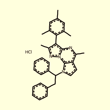 Cc1cc(C)c(-c2c(C)nn3c2nc(C)c2ccn(C(Cc4ccccc4)c4ccccc4)c23)c(C)c1.Cl